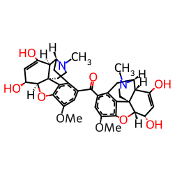 COc1cc(C(=O)c2cc(OC)c3c4c2C[C@@H]2[C@@H]5C(O)=C[C@H](O)[C@H](O3)[C@]45CCN2C)c2c3c1O[C@H]1[C@@H](O)C=C(O)[C@H]4[C@@H](C2)N(C)CC[C@]314